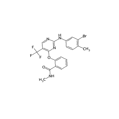 CNC(=O)c1ccccc1Oc1nc(Nc2ccc(C)c(Br)c2)ncc1C(F)(F)F